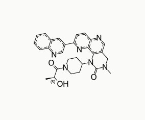 C[C@H](O)C(=O)N1CCC(N2C(=O)N(C)Cc3cnc4ccc(-c5cnc6ccccc6c5)nc4c32)CC1